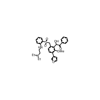 CCN(CC)CCNc1ccccc1S(=O)(=O)Cc1ccc(-c2ccoc2)c(OC)c1C(O)C(=O)c1ccccc1